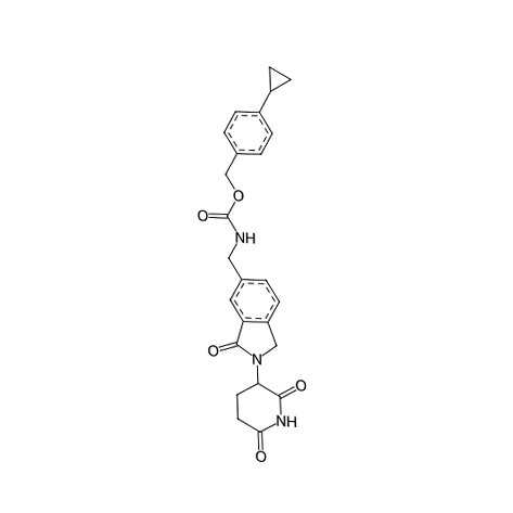 O=C1CCC(N2Cc3ccc(CNC(=O)OCc4ccc(C5CC5)cc4)cc3C2=O)C(=O)N1